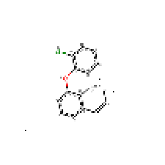 C/C=C\c1cccc(Oc2ccccc2Cl)c1OC